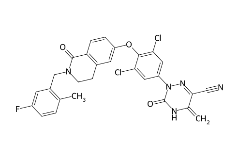 C=C1NC(=O)N(c2cc(Cl)c(Oc3ccc4c(c3)CCN(Cc3cc(F)ccc3C)C4=O)c(Cl)c2)N=C1C#N